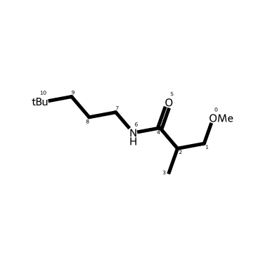 COCC(C)C(=O)NCCCC(C)(C)C